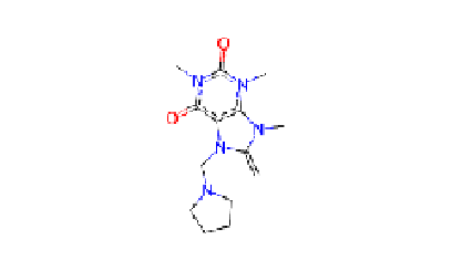 C=C1N(C)c2c(c(=O)n(C)c(=O)n2C)N1CN1CCCC1